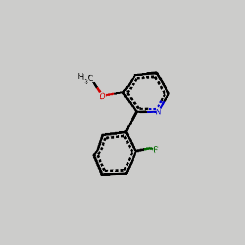 COc1cccnc1-c1ccccc1F